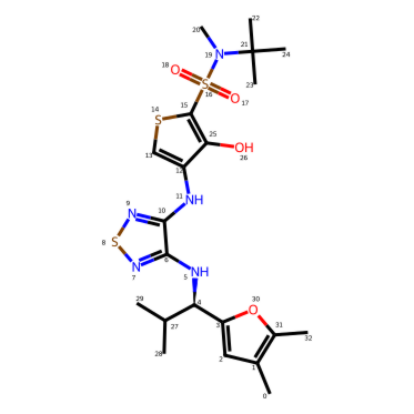 Cc1cc([C@H](Nc2nsnc2Nc2csc(S(=O)(=O)N(C)C(C)(C)C)c2O)C(C)C)oc1C